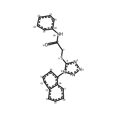 O=C(CSc1nnnn1-c1cccc2ccccc12)Nc1ccccc1